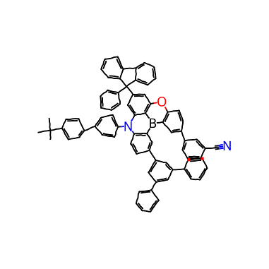 CC(C)(C)c1ccc(-c2ccc(N3c4ccc(-c5cc(-c6ccccc6)cc(-c6ccccc6)c5)cc4B4c5cc(-c6cccc(C#N)c6)ccc5Oc5cc(C6(c7ccccc7)c7ccccc7-c7ccccc76)cc3c54)cc2)cc1